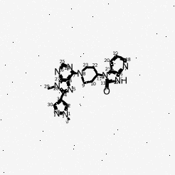 Cn1cc(-c2nc3c(N4CCC(n5c(=O)[nH]c6ncccc65)CC4)ncnc3n2C)cn1